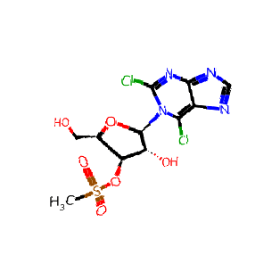 CS(=O)(=O)O[C@@H]1[C@@H](O)[C@H](n2c(Cl)nc3ncnc-3c2Cl)O[C@@H]1CO